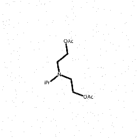 CC(=O)OCCN(CCOC(C)=O)C(C)C